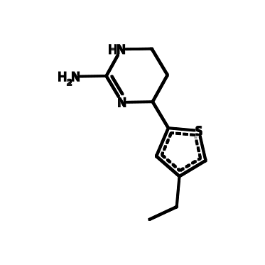 CCc1csc(C2CCNC(N)=N2)c1